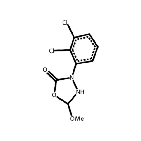 COC1NN(c2cccc(Cl)c2Cl)C(=O)O1